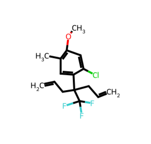 C=CCC(CC=C)(c1cc(C)c(OC)cc1Cl)C(F)(F)F